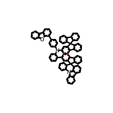 c1ccc(N(c2ccc(-c3cccc4c3oc3ccccc34)cc2)c2ccc3c(c2)C2(c4ccccc4-c4ccccc42)c2ccccc2-3)c(-c2ccc3c(c2)C2(c4ccccc4-3)c3ccccc3-n3c4ccccc4c4cccc2c43)c1